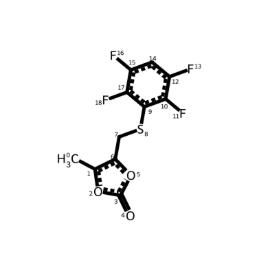 Cc1oc(=O)oc1CSc1c(F)c(F)cc(F)c1F